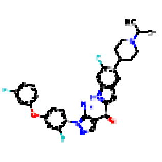 CC(C)N1CCC(c2cc3cc(C(=O)c4cnn(-c5ccc(Oc6cccc(F)c6)cc5F)c4N)[nH]c3cc2F)CC1